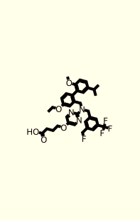 CCOc1ccc(-c2cc(C(C)C)ccc2OC)c(CN(Cc2cc(CF)cc(C(F)(F)F)c2)c2ncc(OCCCC(=O)O)cn2)c1